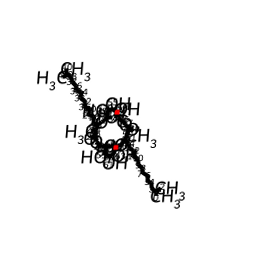 CC(C)CCCCCCCCCCCCC1O[C@@H]2O[C@H](COC(=O)C(C)C(CCCCCCCCCCCCC(C)C)O[C@@H]3O[C@H](COC(=O)C1C)[C@@H](O)[C@H](O)[C@H]3O)[C@@H](O)[C@H](O)[C@H]2O